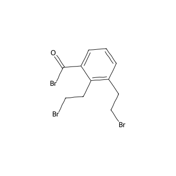 O=C(Br)c1cccc(CCBr)c1CCBr